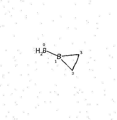 BB1CC1